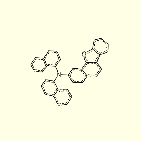 c1ccc2c(N(c3ccc4ccc5c6ccccc6oc5c4c3)c3cccc4ccccc34)cccc2c1